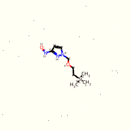 C[Si](C)(C)CCOCn1ccc(N=O)n1